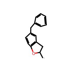 [CH2]C1Cc2cc(Cc3ccccc3)ccc2O1